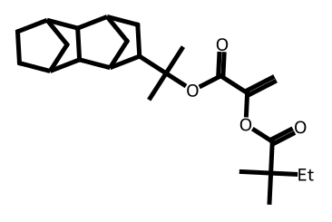 C=C(OC(=O)C(C)(C)CC)C(=O)OC(C)(C)C1CC2CC1C1C3CCC(C3)C21